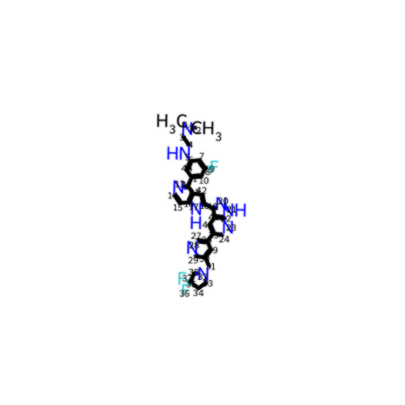 CN(C)CCNc1cc(F)cc(-c2nccc3[nH]c(-c4n[nH]c5ncc(-c6cncc(CN7CCC(F)(F)C7)c6)cc45)cc23)c1